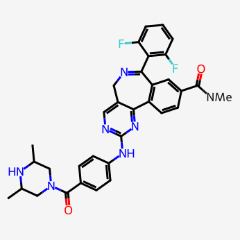 CNC(=O)c1ccc2c(c1)C(c1c(F)cccc1F)=NCc1cnc(Nc3ccc(C(=O)N4CC(C)NC(C)C4)cc3)nc1-2